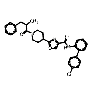 CC(Cc1ccccc1)C(=O)N1CCC(c2nc(C(=O)Nc3ccccc3-c3ccc(Cl)cc3)cs2)CC1